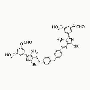 CC(C)(C)c1nn(-c2cc(OC=O)cc(C(=O)O)c2)c(N)c1N=Nc1ccc(Cc2ccc(N=Nc3c(C(C)(C)C)nn(-c4cc(OC=O)cc(C(=O)O)c4)c3N)cc2)cc1